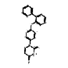 O=C1CCN(c2cnc(Oc3ccccc3-c3ccccc3)nc2)C(=O)N1